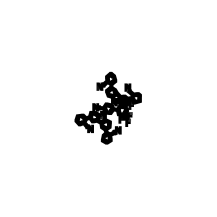 N#Cc1ccccc1-c1ccc2c(c1)c1cc(-c3ccccc3C#N)ccc1n2-c1cc(-c2cc(C(F)(F)F)cc(C(F)(F)F)c2)c(-n2c3ccc(-c4ccccc4C#N)cc3c3cc(-c4ccccc4C#N)ccc32)cc1C#N